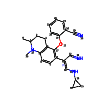 CC1CCc2c(ccc(/C(C=N)=C/NC3CC3)c2Oc2ccccc2C#N)N1C